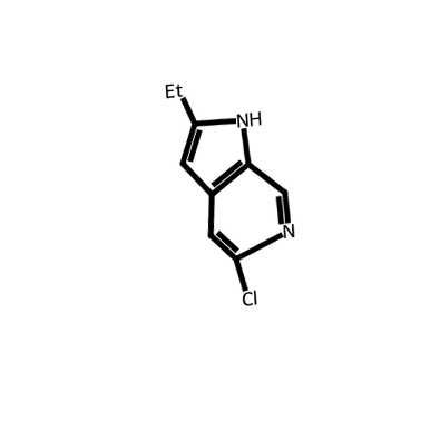 [CH2]Cc1cc2cc(Cl)ncc2[nH]1